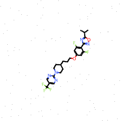 CC(C)c1nc(-c2c(F)cc(OCCCC3CCN(c4ncc(C(F)(F)F)cn4)CC3)cc2F)no1